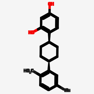 CC(C)(C)c1ccc(C(=O)O)c([C@H]2CC[C@H](c3ccc(O)cc3O)CC2)c1